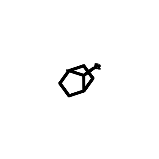 CCC1[C]2CCC1CC2